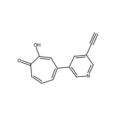 C#Cc1cncc(-c2cccc(=O)c(O)c2)c1